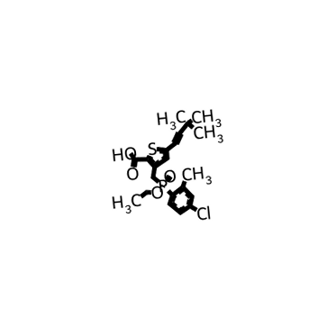 CCOP(=O)(Cc1cc(C#CC(C)(C)C)sc1C(=O)O)c1ccc(Cl)cc1C